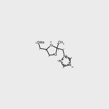 COCC1COC(C)(Cn2cncn2)O1